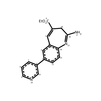 CCOC(=O)C1=Cc2cc(-c3cccnc3)ccc2N=C(N)C1